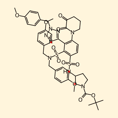 COc1ccc(CN(Cc2ccc(OC)cc2)S(=O)(=O)c2c(S(=O)(=O)NC3CCN(C(=O)OC(C)(C)C)C3)ccc(N3CCCC(=O)C3=O)c2-c2nnn(Cc3ccc(OC)cc3)n2)cc1